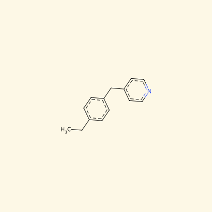 CCc1ccc(Cc2ccncc2)cc1